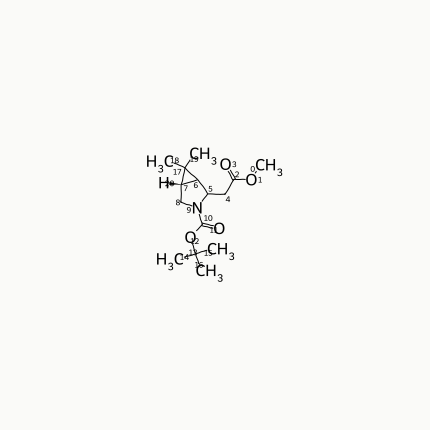 COC(=O)CC1C2[C@H](CN1C(=O)OC(C)(C)C)C2(C)C